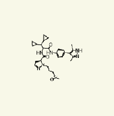 Cc1n[nH]c(C)c1-c1ccc(NC(=O)[C@@H](NC(=O)c2ccnn2CCC[S+](C)[O-])C(C2CC2)C2CC2)cc1